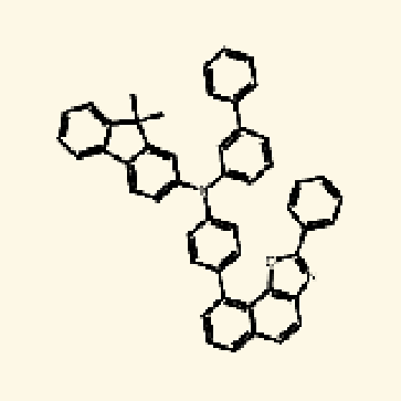 CC1(C)c2ccccc2-c2ccc(N(c3ccc(-c4cccc5ccc6nc(-c7ccccc7)oc6c45)cc3)c3cccc(-c4ccccc4)c3)cc21